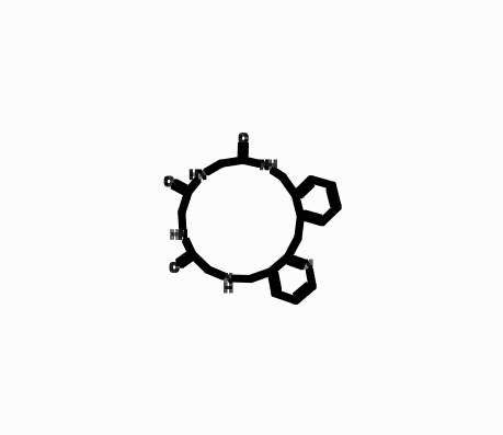 O=C1CNCc2cccnc2Cc2ccccc2CNC(=O)CNC(=O)CN1